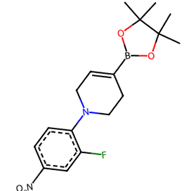 CC1(C)OB(C2=CCN(c3ccc([N+](=O)[O-])cc3F)CC2)OC1(C)C